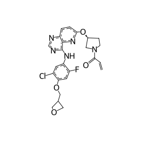 C=CC(=O)N1CC[C@H](Oc2ccc3ncnc(Nc4cc(Cl)c(OCC5COC5)cc4F)c3n2)C1